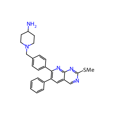 CSc1ncc2cc(-c3ccccc3)c(-c3ccc(CN4CCC(N)CC4)cc3)nc2n1